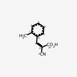 Cc1ccccc1C=C(C#N)C(=O)O